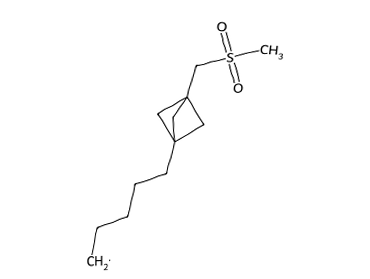 [CH2]CCCCC12CC(CS(C)(=O)=O)(C1)C2